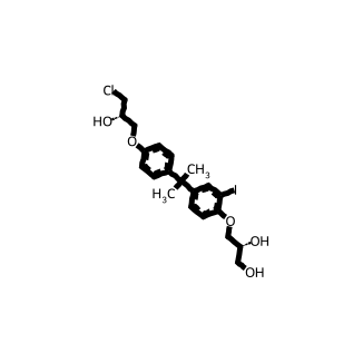 CC(C)(c1ccc(OC[C@H](O)CCl)cc1)c1ccc(OC[C@H](O)CO)c(I)c1